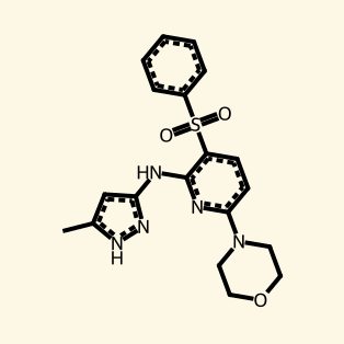 Cc1cc(Nc2nc(N3CCOCC3)ccc2S(=O)(=O)c2ccccc2)n[nH]1